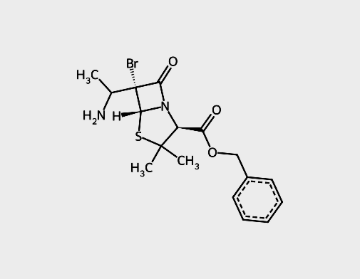 CC(N)[C@@]1(Br)C(=O)N2[C@@H](C(=O)OCc3ccccc3)C(C)(C)S[C@@H]21